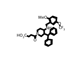 COc1ccc(OC(F)(F)F)cc1CNC1CCN(C(=O)CCC(=O)O)CC1C(c1ccccc1)c1ccccc1